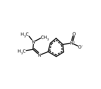 CC(=Nc1ccc([N+](=O)[O-])cc1)N(C)C